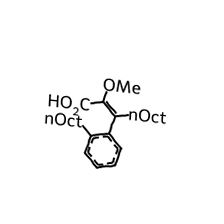 CCCCCCCCC(=C(OC)C(=O)O)c1ccccc1CCCCCCCC